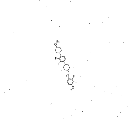 CCOc1ccc(OCC2CCC(c3ccc(C4CCC(OCC)CC4)c(F)c3F)CC2)c(F)c1F